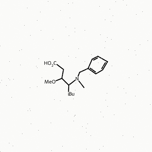 CCC(C)C(C(CC(=O)O)OC)N(C)Cc1ccccc1